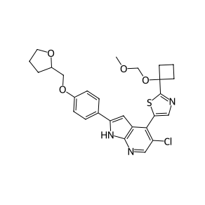 COCOC1(c2ncc(-c3c(Cl)cnc4[nH]c(-c5ccc(OCC6CCCO6)cc5)cc34)s2)CCC1